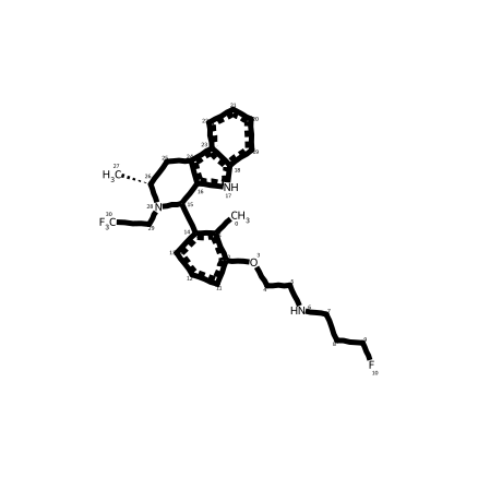 Cc1c(OCCNCCCF)cccc1C1c2[nH]c3ccccc3c2C[C@@H](C)N1CC(F)(F)F